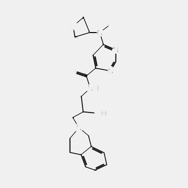 CN(c1cc(C(=O)NCC(O)CN2CCc3ccccc3C2)ncn1)C1COC1